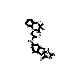 CC1(C)Oc2ccccc2N(CC(=O)Nc2ccc3c(c2)C[C@@]2(C3)NC(=O)NC2=O)C1=O